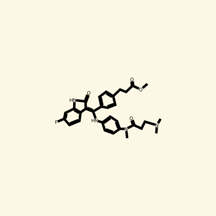 COC(=O)CCc1ccc(C(Nc2ccc(N(C)C(=O)CCN(C)C)cc2)=C2C(=O)Nc3cc(F)ccc32)cc1